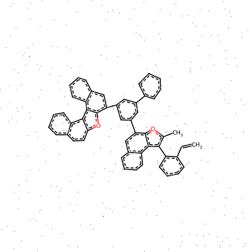 C=Cc1ccccc1-c1c(C)oc2c(-c3cc(-c4ccccc4)cc(-c4cc5ccccc5c5c4oc4ccc6ccccc6c45)c3)cc3ccccc3c12